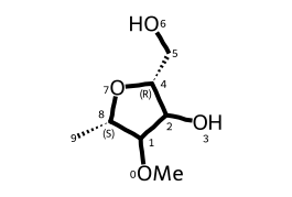 COC1C(O)[C@@H](CO)O[C@H]1C